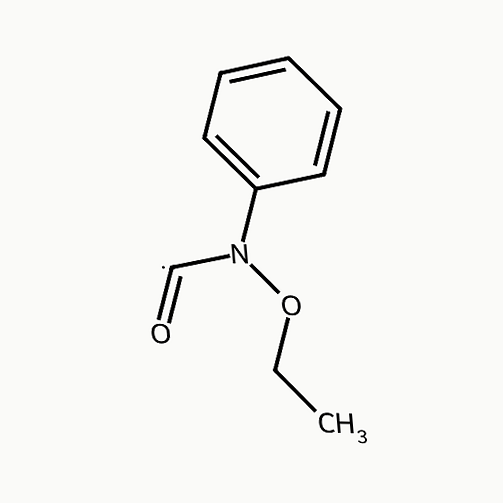 CCON([C]=O)c1ccccc1